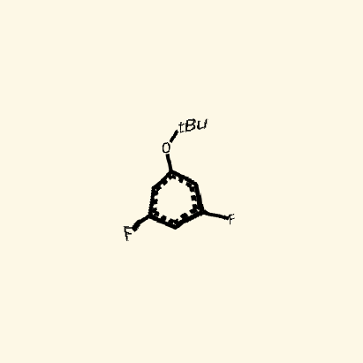 CC(C)(C)Oc1cc(F)cc(F)c1